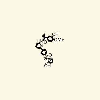 COc1ccc(C2(C(=O)Nc3cccc(-c4ccc(S(=O)(=O)N5CCC[C@@H]5CO)cc4)n3)CC2)cc1O